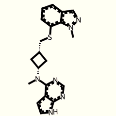 Cn1ncc2cccc(SC[C@H]3C[C@@H](N(C)c4ncnc5[nH]ccc45)C3)c21